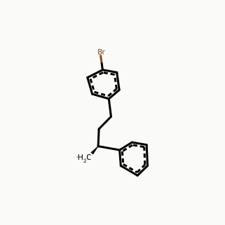 [CH2][C@@H](CCc1ccc(Br)cc1)c1ccccc1